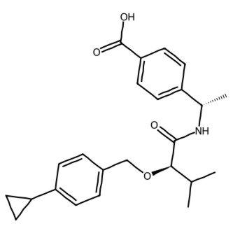 CC(C)[C@@H](OCc1ccc(C2CC2)cc1)C(=O)N[C@@H](C)c1ccc(C(=O)O)cc1